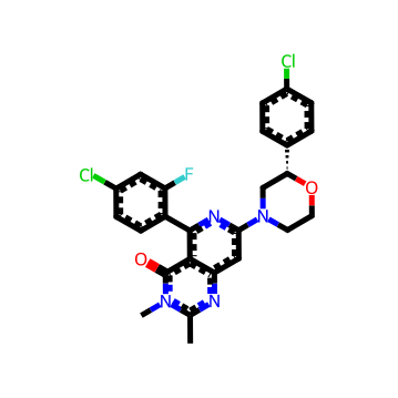 Cc1nc2cc(N3CCO[C@@H](c4ccc(Cl)cc4)C3)nc(-c3ccc(Cl)cc3F)c2c(=O)n1C